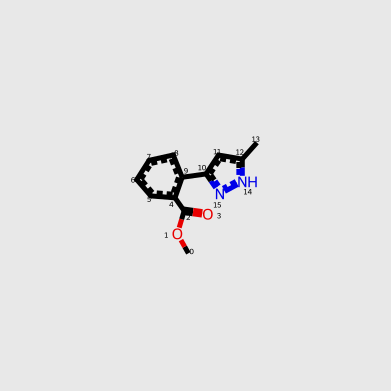 COC(=O)c1ccccc1-c1cc(C)[nH]n1